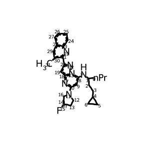 CCCC(CCC1CC1)Nc1cc(N2CC[C@@H](F)C2)nc2cc(-c3nc4ccccc4cc3C)nn12